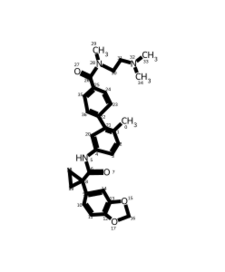 Cc1ccc(NC(=O)C2(c3ccc4c(c3)OCO4)CC2)cc1-c1ccc(C(=O)N(C)CCN(C)C)cc1